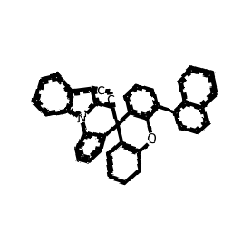 C1=CC2=C(CC1)Oc1c(-c3cccc4ccccc34)cccc1C21c2ccccc2-n2c3ccccc3c3cccc1c32